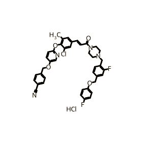 Cc1cc(/C=C/C(=O)N2CCN(Cc3ccc(COc4ccc(F)cc4)cc3F)CC2)cc(Cl)c1Oc1ccc(OCc2ccc(C#N)cc2)cn1.Cl